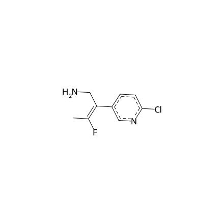 C/C(F)=C(\CN)c1ccc(Cl)nc1